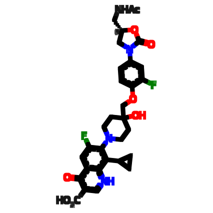 CC(=O)NC[C@H]1CN(c2ccc(OCC3(O)CCN(c4c(F)cc5c(=O)c(C(=O)O)c[nH]c5c4C4CC4)CC3)c(F)c2)C(=O)O1